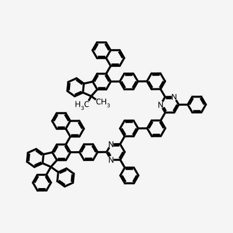 CC1(C)c2ccccc2-c2cc(-c3cccc4ccccc34)c(-c3ccc(-c4cccc(-c5nc(-c6ccccc6)cc(-c6cccc(-c7cccc(-c8cc(-c9ccccc9)nc(-c9ccc(-c%10cc%11c(cc%10-c%10cccc%12ccccc%10%12)-c%10ccccc%10C%11(c%10ccccc%10)c%10ccccc%10)cc9)n8)c7)c6)n5)c4)cc3)cc21